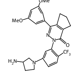 COc1cc(OC)cc(-c2nn(-c3cc(N4CCC(N)C4)ccc3C(F)(F)F)c(=O)c3c2CCC3)c1